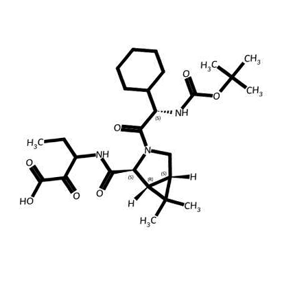 CCC(NC(=O)[C@@H]1[C@@H]2[C@H](CN1C(=O)[C@@H](NC(=O)OC(C)(C)C)C1CCCCC1)C2(C)C)C(=O)C(=O)O